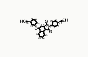 C#Cc1ccc(N2C(=O)c3cc(Oc4cccc(C#C)c4)c4ccccc4c3C2=O)cc1